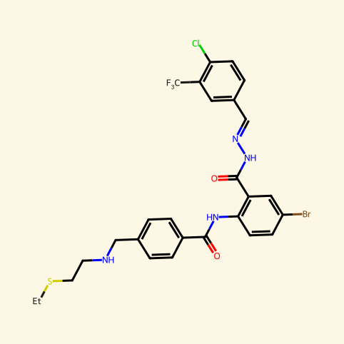 CCSCCNCc1ccc(C(=O)Nc2ccc(Br)cc2C(=O)NN=Cc2ccc(Cl)c(C(F)(F)F)c2)cc1